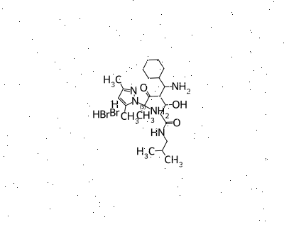 Br.Br.Cc1cc(C)n([C@](C)(N)C(=O)C(C(O)CC(=O)NCC(C)C)C(N)C2CCCCC2)n1